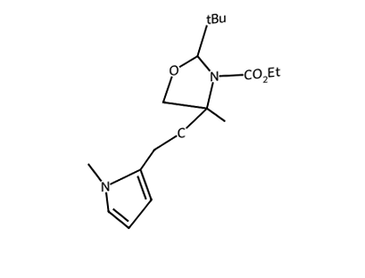 CCOC(=O)N1C(C(C)(C)C)OCC1(C)CCc1cccn1C